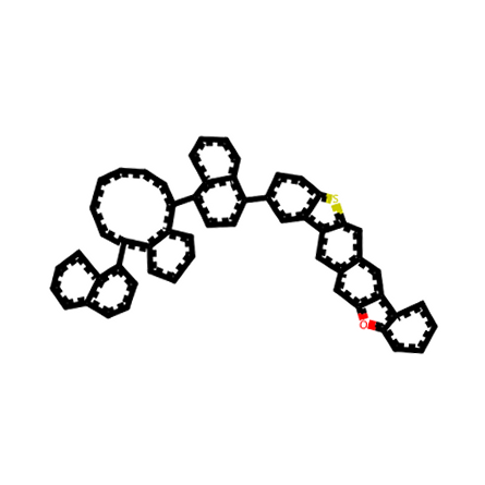 c1cccc(-c2ccc(-c3ccc4sc5cc6cc7c(cc6cc5c4c3)oc3ccccc37)c3ccccc23)c2ccccc2c(-c2cccc3ccccc23)cc1